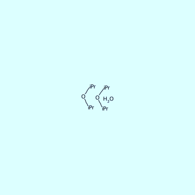 CC(C)OC(C)C.CC(C)OC(C)C.O